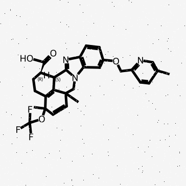 Cc1ccc(COc2ccc3nc4n(c3c2)CC2(C)C=CC(C)(OC(F)(F)F)C3=C2[C@@H]4[C@H](C(=O)O)CC3)nc1